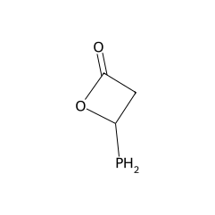 O=C1CC(P)O1